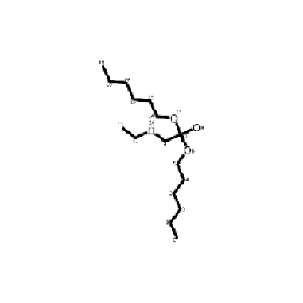 CCCCCCOC([O])(COCC)OCCCCCC